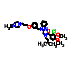 COc1ccc(C(=O)N(CCC(C)C)Cc2nc3ccccc3n2Cc2cccc(OCCCN3CCN(C)CC3)c2)c(Cl)c1OC